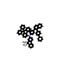 CC1(C)c2ccccc2-c2ccc(N(c3ccc(-c4ccc5ccccc5c4-c4ccc(C5C=CC=CC5)cc4)cc3)c3cccc4c3-c3ccccc3C4(c3ccccc3)c3ccccc3)cc21